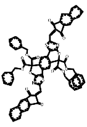 O=C1C(=Cc2nc3c(s2)-c2cc4c(cc2C(C(=O)OCc2ccccc2)(C(=O)OCc2ccccc2)O3)-c2sc(C=C3C(=O)c5cc6ccccc6cc5C3=O)nc2OC4(C(=O)OCc2ccccc2)C(=O)OCc2ccccc2)C(=O)c2cc3ccccc3cc21